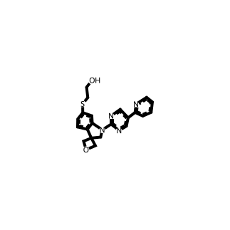 OCCSc1ccc2c(c1)N(c1ncc(-c3ccccn3)cn1)CC21COC1